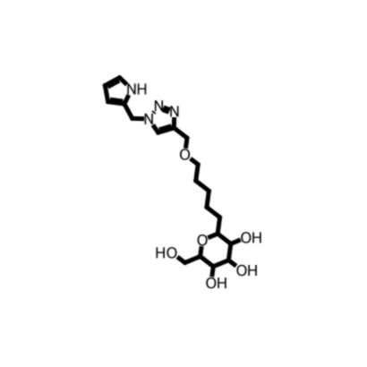 OCC1OC(CCCCCOCc2cn(Cc3ccc[nH]3)nn2)C(O)C(O)C1O